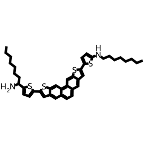 CCCCCCCCNc1ccc(-c2cc3cc4ccc5cc6cc(-c7ccc(C(N)CCCCCCC)s7)sc6cc5c4cc3s2)s1